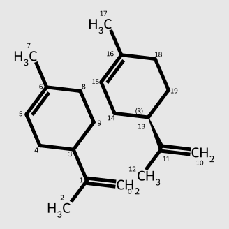 C=C(C)C1CC=C(C)CC1.C=C(C)[C@H]1CC=C(C)CC1